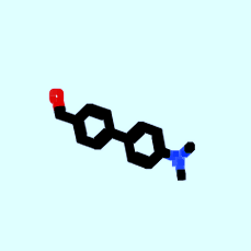 CN(C)c1ccc(-c2ccc(C=O)cc2)cc1